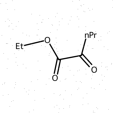 CCCC(=O)C(=O)OCC